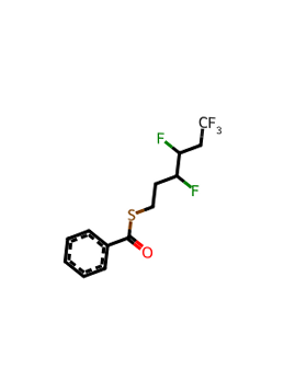 O=C(SCCC(F)C(F)CC(F)(F)F)c1ccccc1